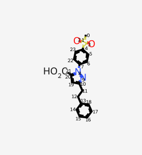 CS(=O)(=O)c1ccc(-n2nc(CCc3ccccc3)cc2C(=O)O)cc1